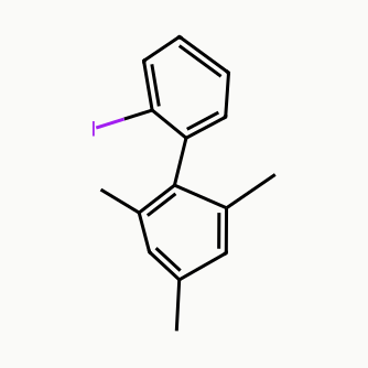 Cc1cc(C)c(-c2ccccc2I)c(C)c1